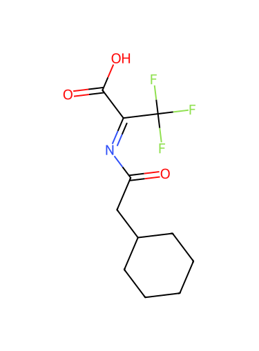 O=C(CC1CCCCC1)N=C(C(=O)O)C(F)(F)F